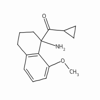 COc1cccc2c1C(N)(C(=O)C1CC1)CCC2